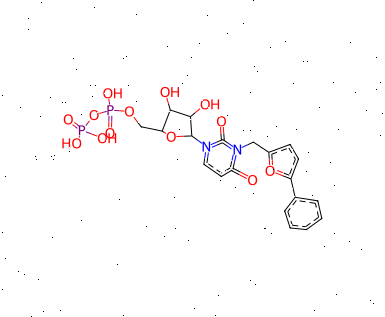 O=c1ccn(C2OC(COP(=O)(O)OP(=O)(O)O)C(O)C2O)c(=O)n1Cc1ccc(-c2ccccc2)o1